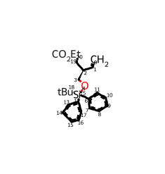 C=C[C@@H](CO[Si](c1ccccc1)(c1ccccc1)C(C)(C)C)CC(=O)OCC